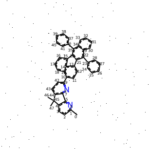 Cc1ccc2c(n1)-c1nc(-c3ccc4c5c(cccc35)-c3c-4c(-c4ccccc4)c4ccccc4c3-c3ccccc3)ccc1C2(C)C